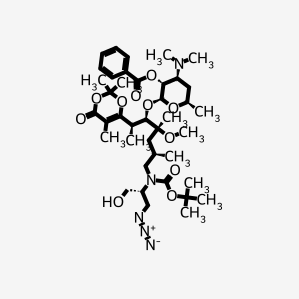 CO[C@](C)(C[C@@H](C)CN(C(=O)OC(C)(C)C)[C@@H](CO)CN=[N+]=[N-])[C@H](O[C@@H]1O[C@H](C)C[C@H](N(C)C)[C@H]1OC(=O)c1ccccc1)[C@@H](C)C1=C(C)C(=O)OC(C)(C)O1